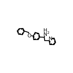 NC(Cc1ccccn1)c1ccc(OCc2ccccc2)cc1